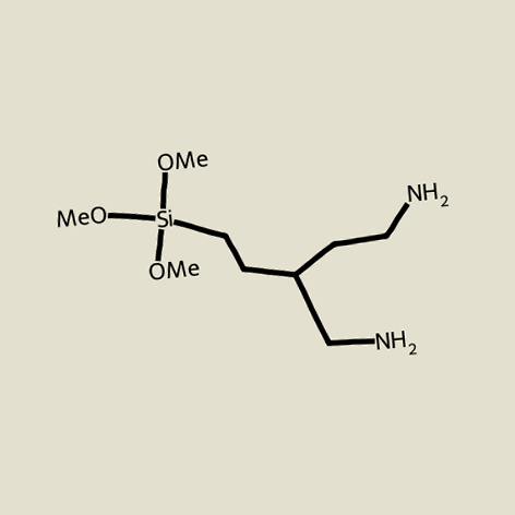 CO[Si](CCC(CN)CCN)(OC)OC